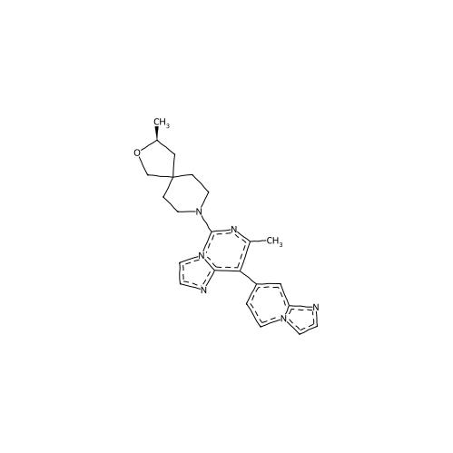 Cc1nc(N2CCC3(CC2)CO[C@@H](C)C3)n2ccnc2c1-c1ccn2ccnc2c1